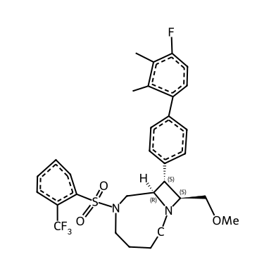 COC[C@@H]1[C@@H](c2ccc(-c3ccc(F)c(C)c3C)cc2)[C@@H]2CN(S(=O)(=O)c3ccccc3C(F)(F)F)CCCCN12